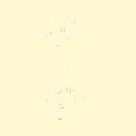 CC(C(=O)NCCOCCC(=O)ON1C(=O)CCC1=O)N1C(=O)C=CC1=O